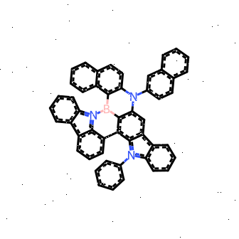 c1ccc(-n2c3ccccc3c3cc4c5c(c32)-c2cccc3c6ccccc6n(c23)B5c2c(ccc3ccccc23)N4c2ccc3ccccc3c2)cc1